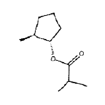 CC(C)C(=O)O[C@H]1CCC[C@@H]1C